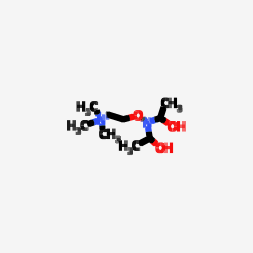 CC(O)N(OCC[N+](C)(C)C)C(C)O